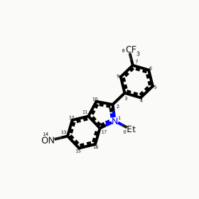 CCn1c(-c2cccc(C(F)(F)F)c2)cc2cc(N=O)ccc21